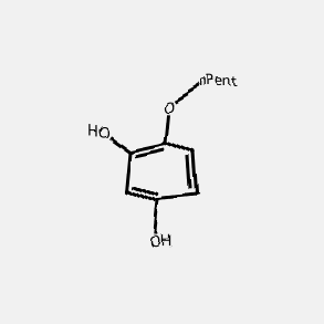 CCCCCOc1ccc(O)cc1O